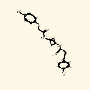 O=C(COc1ccc(Cl)cc1)NC12CC(NC(=O)Cc3ccc(Cl)cc3)(C1)C2